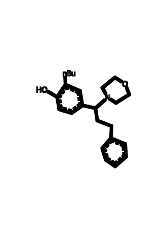 CCCCc1cc(C(CCc2ccccc2)N2CCOCC2)ccc1O